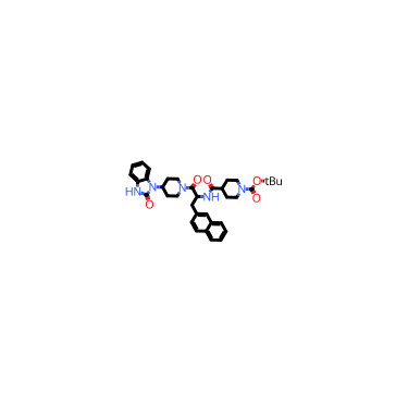 CC(C)(C)OC(=O)N1CCC(C(=O)NC(Cc2ccc3ccccc3c2)C(=O)N2CCC(n3c(=O)[nH]c4ccccc43)CC2)CC1